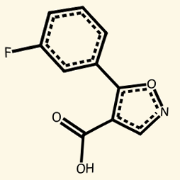 O=C(O)c1cnoc1-c1cccc(F)c1